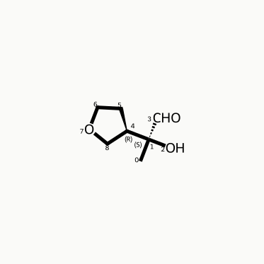 C[C@@](O)(C=O)[C@@H]1CCOC1